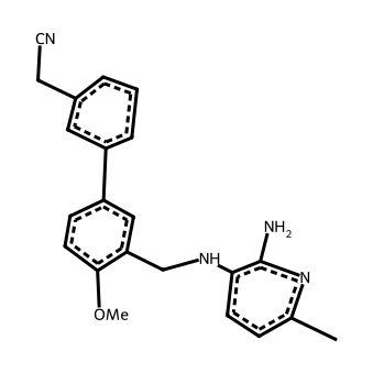 COc1ccc(-c2cccc(CC#N)c2)cc1CNc1ccc(C)nc1N